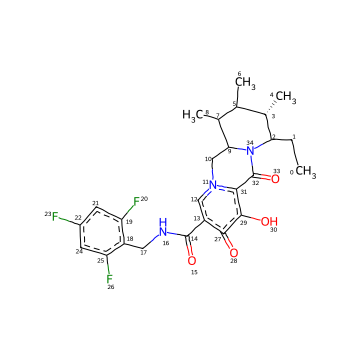 CCC1[C@@H](C)C(C)C(C)C2Cn3cc(C(=O)NCc4c(F)cc(F)cc4F)c(=O)c(O)c3C(=O)N21